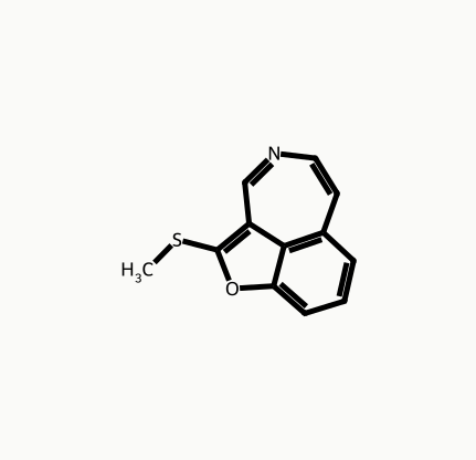 CSc1oc2cccc3c2c1C=NC=C3